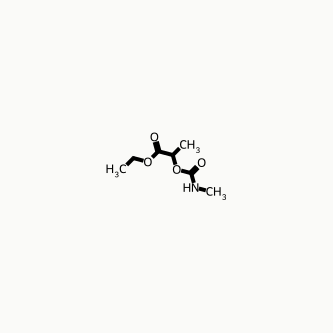 CCOC(=O)C(C)OC(=O)NC